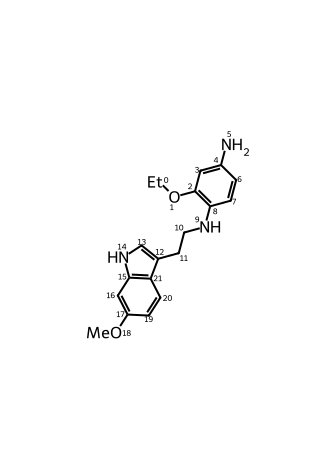 CCOc1cc(N)ccc1NCCc1c[nH]c2cc(OC)ccc12